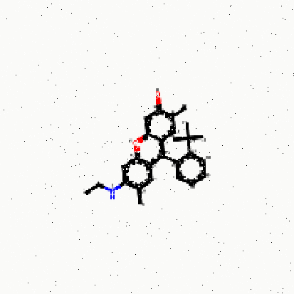 CCNc1cc2oc3cc(=O)c(C)cc-3c(-c3ccccc3C(C)(C)C)c2cc1C